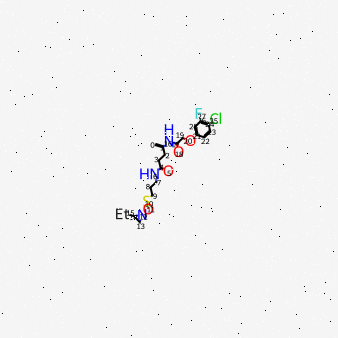 C=C(CCC(=O)NCCCSON1CC1CC)NC(=O)COc1ccc(Cl)c(F)c1